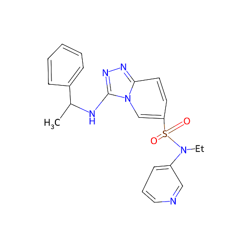 CCN(c1cccnc1)S(=O)(=O)c1ccc2nnc(NC(C)c3ccccc3)n2c1